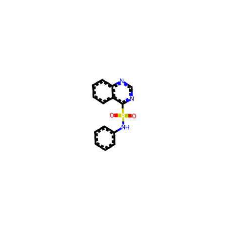 O=S(=O)(Nc1ccccc1)c1ncnc2ccccc12